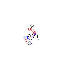 Cc1noc(COC(=O)c2ccccc2)c1-c1ccc2[nH]c(=O)n3c2c1OCC3c1ccccn1